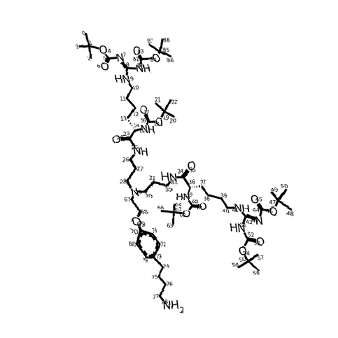 CC(C)(C)OC(=O)/N=C(\NCCCC[C@H](NC(=O)OC(C)(C)C)C(=O)NCCCN(CCCNC(=O)[C@H](CCCCN/C(=N\C(=O)OC(C)(C)C)NC(=O)OC(C)(C)C)NC(=O)OC(C)(C)C)CCOc1ccc(CCCCN)cc1)NC(=O)OC(C)(C)C